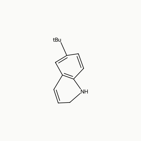 CC(C)(C)c1ccc2c(c1)C=CCN2